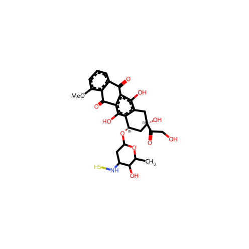 COc1cccc2c1C(=O)c1c(O)c3c(c(O)c1C2=O)C[C@@](O)(C(=O)CO)C[C@@H]3OC1CC(NS)C(O)C(C)O1